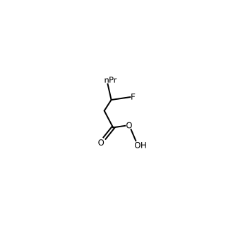 CCCC(F)CC(=O)OO